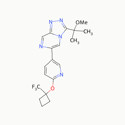 COC(C)(C)c1nnc2cnc(-c3ccc(OC4(C(F)(F)F)CCC4)nc3)cn12